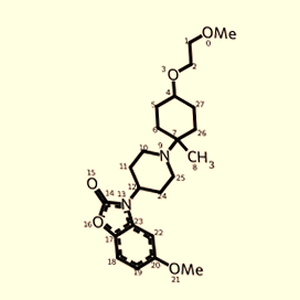 COCCOC1CCC(C)(N2CCC(n3c(=O)oc4ccc(OC)cc43)CC2)CC1